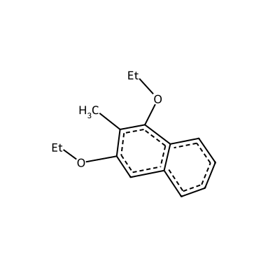 CCOc1cc2ccccc2c(OCC)c1C